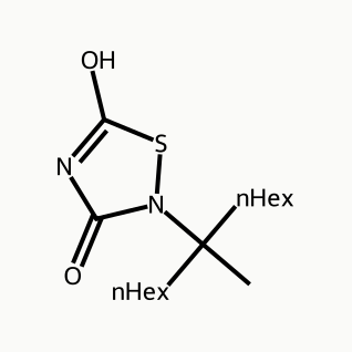 CCCCCCC(C)(CCCCCC)n1sc(O)nc1=O